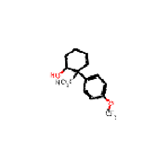 O=C(O)C1(c2ccc(OC(F)(F)F)cc2)CCCCC1O